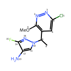 COc1nnc(Cl)cc1C(C)n1cc(N)c(F)n1